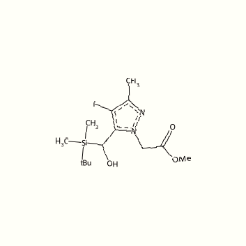 COC(=O)Cn1nc(C)c(I)c1C(O)[Si](C)(C)C(C)(C)C